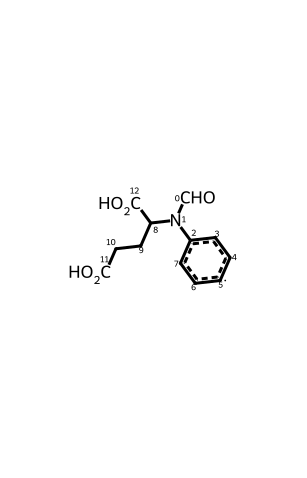 O=CN(c1cc[c]cc1)C(CCC(=O)O)C(=O)O